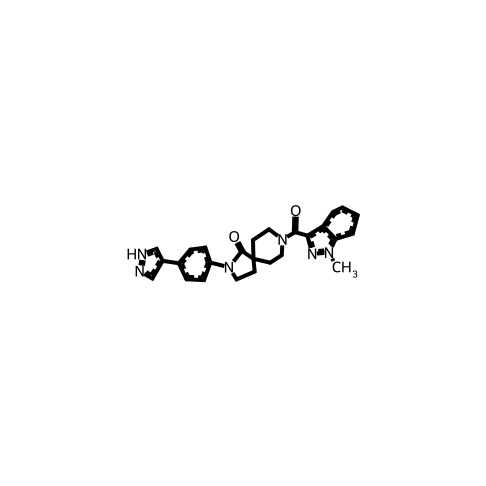 Cn1nc(C(=O)N2CCC3(CC2)CCN(c2ccc(-c4cn[nH]c4)cc2)C3=O)c2ccccc21